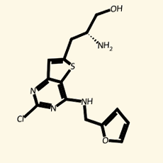 N[C@@H](CO)Cc1cc2nc(Cl)nc(NCc3ccco3)c2s1